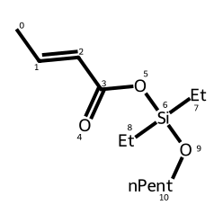 CC=CC(=O)O[Si](CC)(CC)OCCCCC